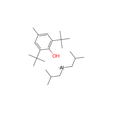 CC(C)[CH2][Al][CH2]C(C)C.Cc1cc(C(C)(C)C)c(O)c(C(C)(C)C)c1